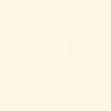 [CH]C(C)=CCC